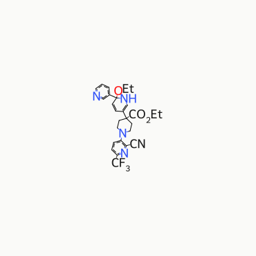 CCOC(=O)C1(C2=CNC(OCC)(c3cccnc3)C=C2)CCN(c2ccc(C(F)(F)F)nc2C#N)CC1